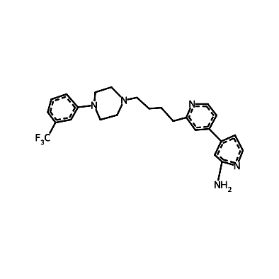 Nc1cc(-c2ccnc(CCCCN3CCN(c4cccc(C(F)(F)F)c4)CC3)c2)ccn1